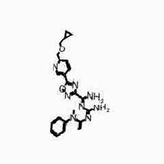 C=C(/N=C(N)\N=C(/N)c1noc(-c2ccc(COCC3CC3)nc2)n1)N(C)c1ccccc1